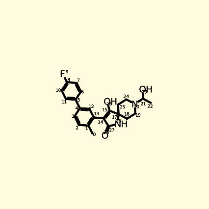 Cc1ccc(-c2ccc(F)cc2)cc1C1=C(O)C2(CCN(C(C)O)CC2)NC1=O